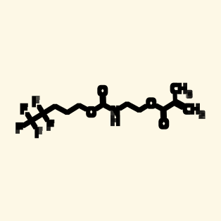 C=C(C)C(=O)OCCNC(=O)OCCCC(F)(F)C(F)(F)F